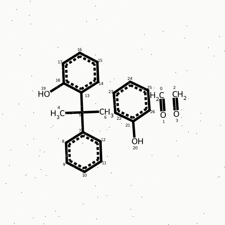 C=O.C=O.CC(C)(c1ccccc1)c1ccccc1O.Oc1ccccc1